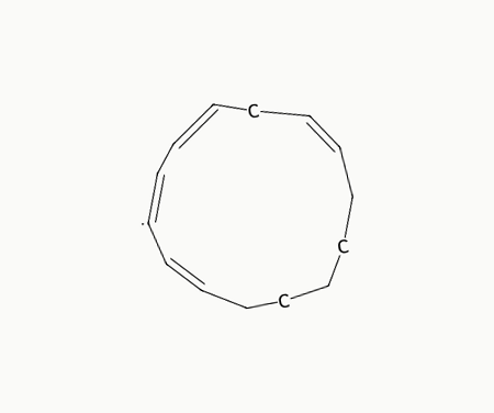 [C]1=CC=CCC=CCCCCCC=C1